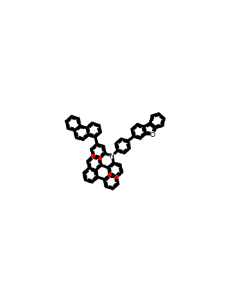 c1ccc(-c2cccc3cccc(-c4ccccc4N(c4ccc(-c5ccc6c(c5)oc5ccccc56)cc4)c4cccc(-c5cccc6c5ccc5ccccc56)c4)c23)cc1